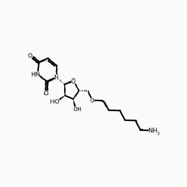 NCCCCCCOC[C@H]1O[C@@H](n2ccc(=O)[nH]c2=O)[C@H](O)[C@@H]1O